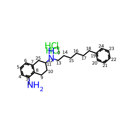 Cl.Cl.Nc1cccc2c1CCC(NCCCCCCc1ccccc1)C2